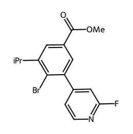 COC(=O)c1cc(-c2ccnc(F)c2)c(Br)c(C(C)C)c1